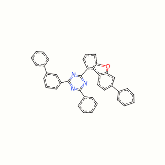 c1ccc(-c2cccc(-c3nc(-c4ccccc4)nc(-c4cccc5oc6cc(-c7ccccc7)ccc6c45)n3)c2)cc1